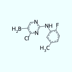 Bc1cnc(Nc2cc(C)ccc2F)nc1Cl